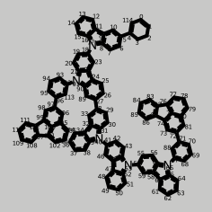 C1=CCCC(c2ccc3c(c2)c2ccccc2n3-c2ccc3c(c2)c2ccc(-c4ccc5c(c4)c4ccccc4n5-c4ccc5c(c4)c4ccccc4n5-c4ccc5c(c4)c4ccccc4n5-c4cccc(-c5cc6c7c(cccc7c5)-c5ccccc5-6)c4)cc2n3-c2cccc(-c3cc4c5c(cccc5c3)-c3ccccc3-4)c2)=C1